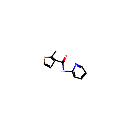 Cc1sccc1C(=O)Nc1ccccn1